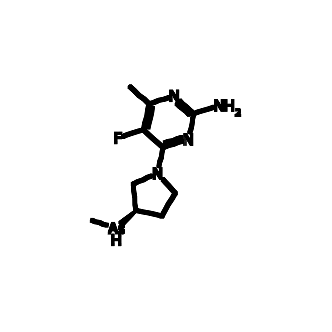 C[AsH][C@@H]1CCN(c2nc(N)nc(C)c2F)C1